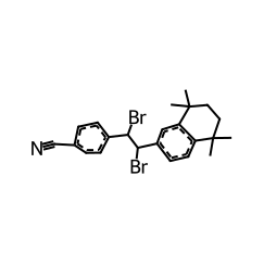 CC1(C)CCC(C)(C)c2cc(C(Br)C(Br)c3ccc(C#N)cc3)ccc21